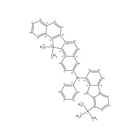 CC(C)(C)c1cccc2c1oc1c(N(c3ccccc3)c3ccc4c5c(ccc4c3)-c3ccc4ccccc4c3C5(C)C)cccc12